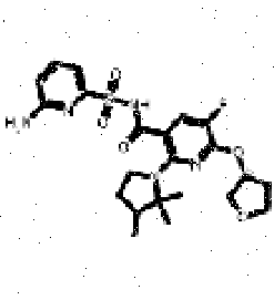 CC1CCN(c2nc(O[C@H]3CCOC3)c(F)cc2C(=O)NS(=O)(=O)c2cccc(N)n2)C1(C)C